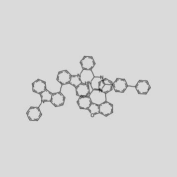 c1ccc(-c2ccc(C3=NC(c4ccccc4-n4c5ccccc5c5c(-c6cccc7c6c6ccccc6n7-c6ccccc6)cccc54)NC(c4cccc5oc6cccc(-c7ccccc7)c6c45)=N3)cc2)cc1